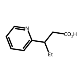 CCC(CC(=O)O)c1ccccn1